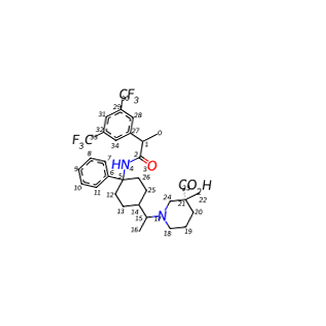 CC(C(=O)NC1(c2ccccc2)CCC(C(C)N2CCC[C@@](C)(C(=O)O)C2)CC1)c1cc(C(F)(F)F)cc(C(F)(F)F)c1